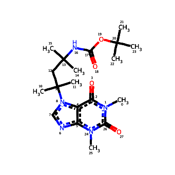 Cn1c(=O)c2c(ncn2C(C)(C)CC(C)(C)NC(=O)OC(C)(C)C)n(C)c1=O